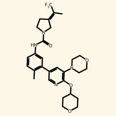 C/C(=C1/CCN(C(=O)Nc2ccc(C)c(-c3cnc(OC4CCOCC4)c(N4CCOCC4)c3)c2)C1)C(F)(F)F